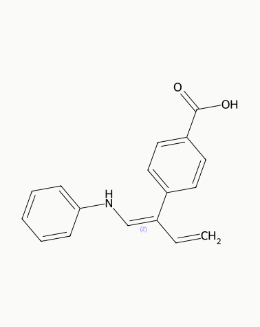 C=C/C(=C/Nc1ccccc1)c1ccc(C(=O)O)cc1